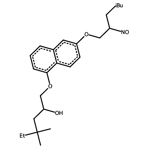 CCC(C)CC(COc1ccc2c(OCC(O)CC(C)(C)CC)cccc2c1)N=O